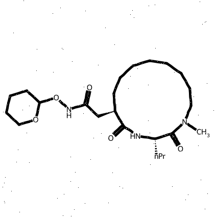 CCC[C@@H]1NC(=O)[C@@H](CC(=O)NOC2CCCCO2)CCCCCCCCN(C)C1=O